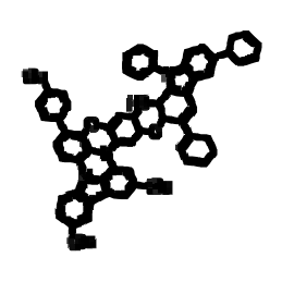 CC(C)(C)c1ccc(-c2ccc3c4c2OC2=CC5BC6c7c(c8cc(C9C=CC=CC9)ccc8n7-c7ccccc7)C=C(C7=CC=CCC7)C6OC5C=C2B4c2cc(C(C)(C)C)cc4c5cc(C(C)(C)C)ccc5n-3c24)cc1